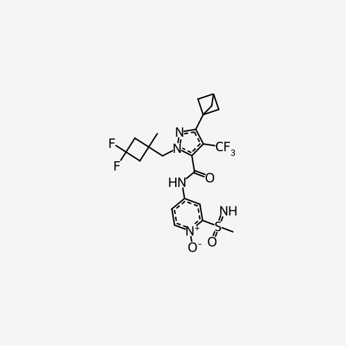 CC1(Cn2nc(C34CC(C3)C4)c(C(F)(F)F)c2C(=O)Nc2cc[n+]([O-])c(S(C)(=N)=O)c2)CC(F)(F)C1